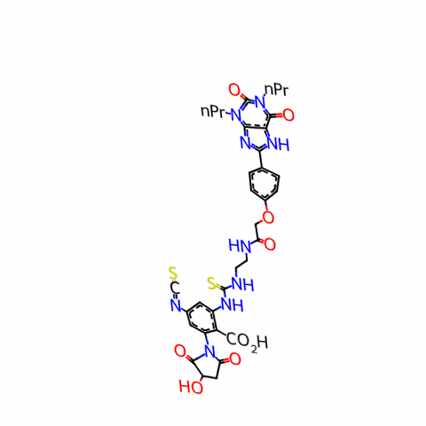 CCCn1c(=O)c2[nH]c(-c3ccc(OCC(=O)NCCNC(=S)Nc4cc(N=C=S)cc(N5C(=O)CC(O)C5=O)c4C(=O)O)cc3)nc2n(CCC)c1=O